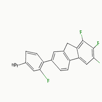 CCCc1ccc(-c2ccc3c(c2)Cc2c-3cc(F)c(F)c2F)c(F)c1